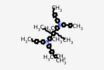 CCCCCCc1cc(-c2ccc(N(c3ccc(-c4ccc(CCC)cc4)cc3)c3ccc(-c4ccc(C(C)(CC)CCC)cc4)cc3)cc2C)c(CCCCCC)cc1-c1ccc(N(c2ccc(-c3ccc(C)cc3)cc2)c2ccc(-c3ccc(CCC)cc3)cc2)cc1C